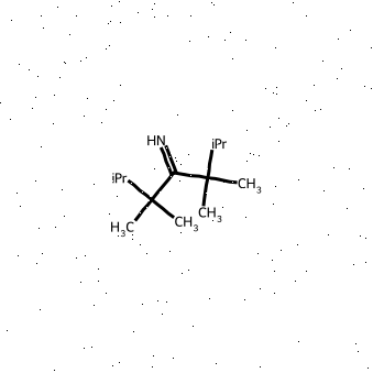 CC(C)C(C)(C)C(=N)C(C)(C)C(C)C